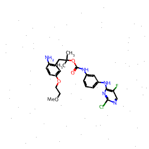 COCCOc1ccc(N)c(CC(C)(C)OC(=O)Nc2cccc(Nc3nc(Cl)ncc3F)c2)c1